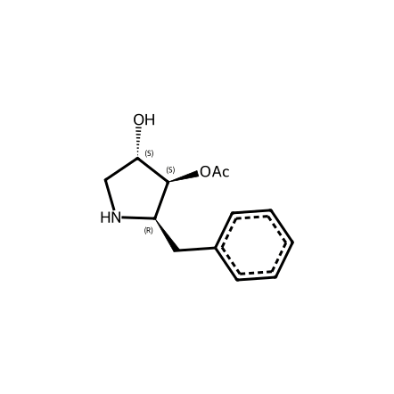 CC(=O)O[C@@H]1[C@@H](O)CN[C@@H]1Cc1ccccc1